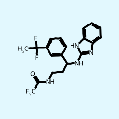 CC(F)(F)c1cccc(C(CCNC(=O)C(F)(F)F)Nc2nc3ccccc3[nH]2)c1